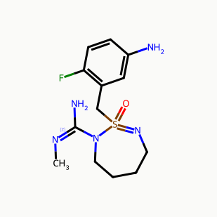 C/N=C(/N)N1CCCCN=S1(=O)Cc1cc(N)ccc1F